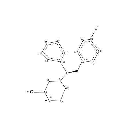 O=C1CC([C@H](Cc2ccc(F)cc2)c2ccccc2)CCN1